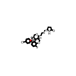 O=C1CC[C@@H](CSCC[C@@H]2OCC[C@@]3(S(=O)(=O)c4ccc(Cl)cc4)c4c(F)ccc(F)c4OC[C@@H]23)N1